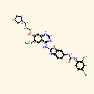 COc1cc2c(Nc3nc4ccc(NC(=O)Nc5ccc(F)cc5F)cc4s3)ncnc2cc1OCCCN1CCCC1